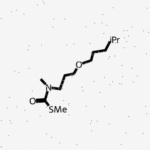 CSC(=O)N(C)CCCOCCCC(C)C